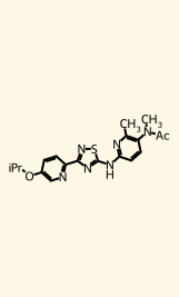 CC(=O)N(C)c1ccc(Nc2nc(-c3ccc(OC(C)C)cn3)ns2)nc1C